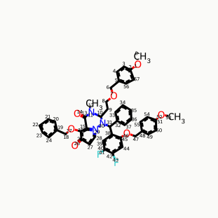 COc1ccc(COCCC2N(C)C(=O)c3c(OCc4ccccc4)c(=O)ccn3N2C(c2ccccc2)c2cc(F)c(F)cc2OCc2ccc(OC)cc2)cc1